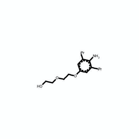 CC(C)c1cc(OCCOCCO)cc(C(C)C)c1N